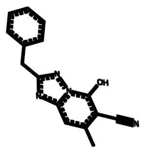 Cc1cc2nc(Cc3ccccc3)nn2c(O)c1C#N